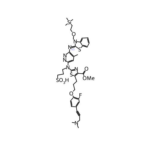 COC(=O)c1nc(N(CCCS(=O)(=O)O)c2cc(C)c(/N=c3\sc4ccccc4n3COCC[Si](C)(C)C)nn2)sc1CCCOc1ccc(C#CCN(C)C)cc1F